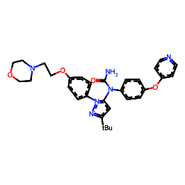 CC(C)(C)c1cc(N(C(N)=O)c2ccc(Oc3ccncc3)cc2)n(-c2ccc(OCCN3CCOCC3)cc2)n1